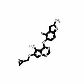 Cc1c(OCC2CO2)cn2ncnc(Oc3ccc4c(c3F)=CC(C)N=4)c12